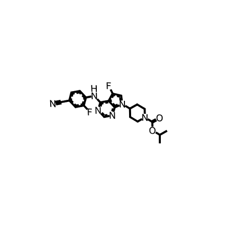 CC(C)OC(=O)N1CCC(n2cc(F)c3c(Nc4ccc(C#N)cc4F)ncnc32)CC1